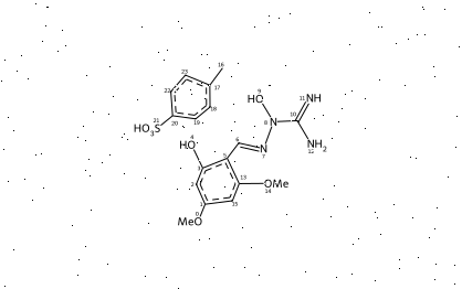 COc1cc(O)c(C=NN(O)C(=N)N)c(OC)c1.Cc1ccc(S(=O)(=O)O)cc1